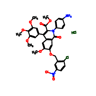 COC(=O)c1c(-c2cc(OC)c(OC)c(OC)c2)c2cc(OC)c(OCc3cc([N+](=O)[O-])ccc3Cl)cc2c(=O)n1-c1ccc(N)cc1.Cl